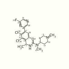 CC(NC(=O)N(C)C1CCN(C)CC1)c1ccc(-c2cncc(F)n2)c(Cl)c1Cl